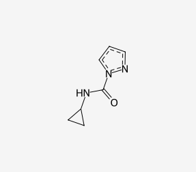 O=C(NC1CC1)n1cccn1